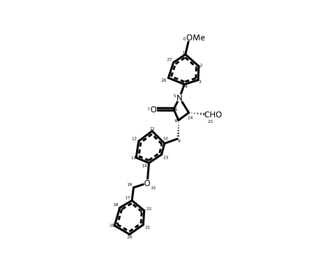 COc1ccc(N2C(=O)[C@@H](Cc3cccc(OCc4ccccc4)c3)[C@H]2C=O)cc1